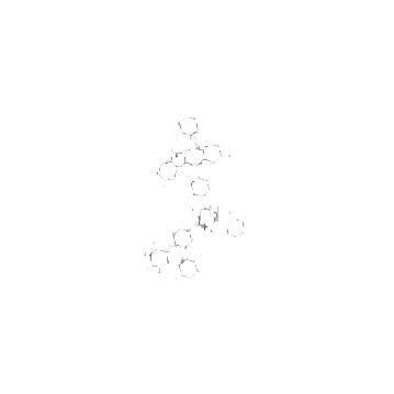 c1ccc(-c2nc(-c3ccc(-c4c5ccccc5c(-c5ccccc5)c5sc6ccccc6c45)cc3)nc(-c3ccc(-c4ccccc4)c(-c4ccccc4)c3)n2)cc1